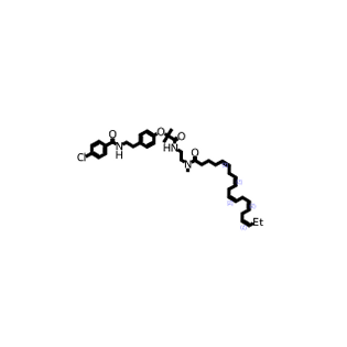 CC/C=C\C/C=C\C/C=C\C/C=C\C/C=C\CCCC(=O)N(C)CCNC(=O)C(C)(C)Oc1ccc(CCNC(=O)c2ccc(Cl)cc2)cc1